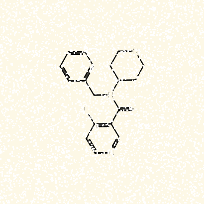 O=C(c1cnccc1F)N(Cc1ccccc1)C1CCNCC1